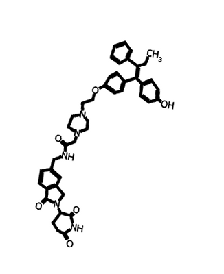 CCC(=C(c1ccc(O)cc1)c1ccc(OCCN2CCN(CC(=O)NCc3ccc4c(c3)CN(C3CCC(=O)NC3=O)C4=O)CC2)cc1)c1ccccc1